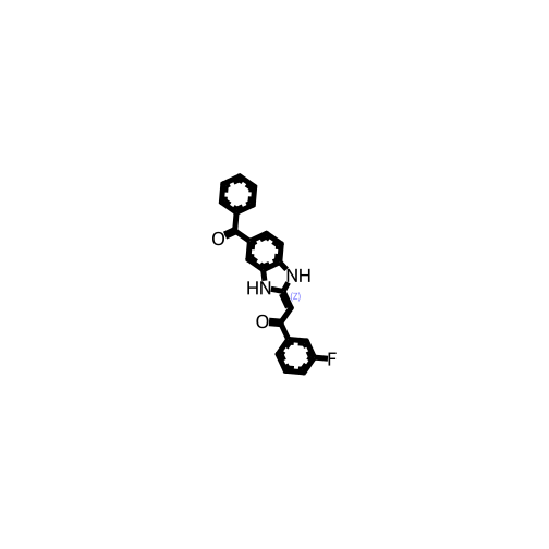 O=C(/C=C1/Nc2ccc(C(=O)c3ccccc3)cc2N1)c1cccc(F)c1